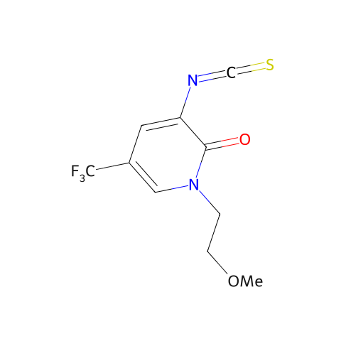 COCCn1cc(C(F)(F)F)cc(N=C=S)c1=O